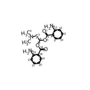 CN(C)SC(OC(=O)c1ccccc1N)OC(=O)c1ccccc1N